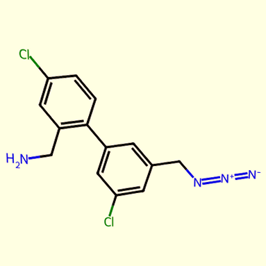 [N-]=[N+]=NCc1cc(Cl)cc(-c2ccc(Cl)cc2CN)c1